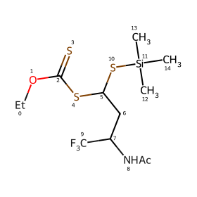 CCOC(=S)SC(CC(NC(C)=O)C(F)(F)F)S[Si](C)(C)C